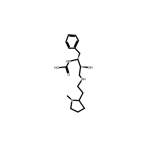 CN1CCCC1CCNC[C@H](O)[C@H](Cc1ccccc1)NC(=O)O